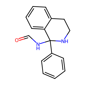 O=CNC1(c2ccccc2)NCCc2ccccc21